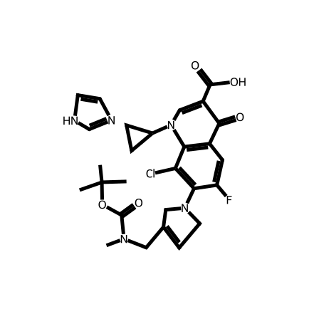 CN(CC1=CCN(c2c(F)cc3c(=O)c(C(=O)O)cn(C4CC4)c3c2Cl)C1)C(=O)OC(C)(C)C.c1c[nH]cn1